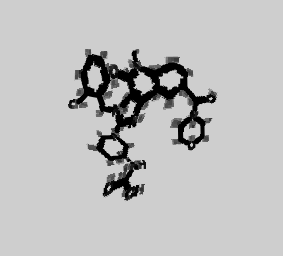 Cn1c(=O)c2c(nc(N3CCC[C@@H](NC(=O)O)C3)n2Cc2ccccc2Cl)c2cc(C(=O)N3CCOCC3)ccc21